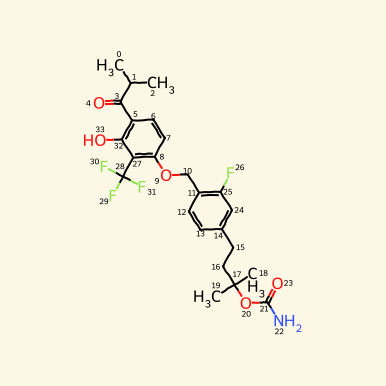 CC(C)C(=O)c1ccc(OCc2ccc(CCC(C)(C)OC(N)=O)cc2F)c(C(F)(F)F)c1O